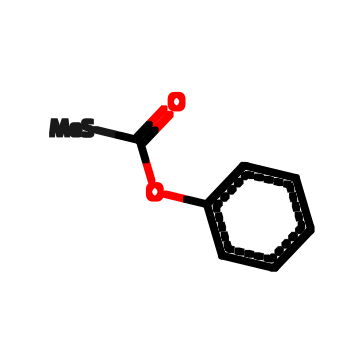 CSC(=O)Oc1ccccc1